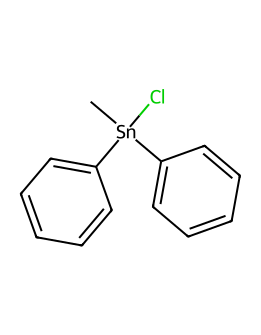 [CH3][Sn]([Cl])([c]1ccccc1)[c]1ccccc1